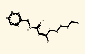 CCCCCC/C(C)=C\C(=O)OCc1ccccc1